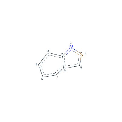 [c]1snc2ccccc12